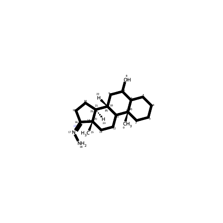 C[C@]12CCCCC1C(O)C[C@@H]1C2CC[C@]2(C)/C(=N\N)CC[C@@H]12